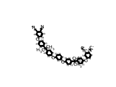 [C-]#[N+]c1ccc(Oc2ccc(C(C)(C)c3ccc(Oc4cccc(Oc5ccc(C(C)(C)c6ccc(Oc7ccc(C#N)c(C#N)c7)cc6)cc5)c4)cc3)cc2)cc1[N+]#[C-]